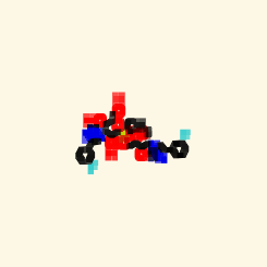 C[C@@H](OC(CO)[C@H](O)[C@H](CO)n1cc(-c2cccc(F)c2)nn1)S[C@@H]1OC(CO)[C@H](O)C(n2cc(-c3cccc(F)c3)nn2)[C@@H]1O